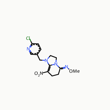 CO/N=C1\CCC([N+](=O)[O-])=C2N(Cc3ccc(Cl)nc3)CCN21